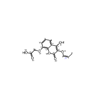 C/C=C\Oc1c(O)c2cccc(OCC(=O)O)c2oc1=O